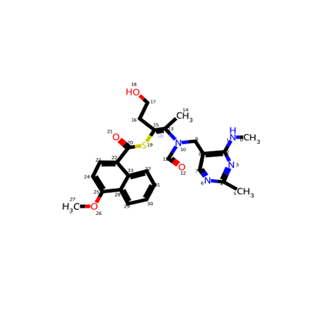 CNc1nc(C)ncc1CN(C=O)/C(C)=C(/CCO)SC(=O)c1ccc(OC)c2ccccc12